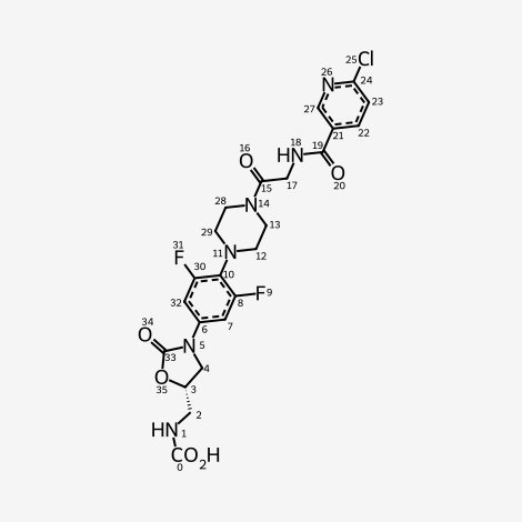 O=C(O)NC[C@H]1CN(c2cc(F)c(N3CCN(C(=O)CNC(=O)c4ccc(Cl)nc4)CC3)c(F)c2)C(=O)O1